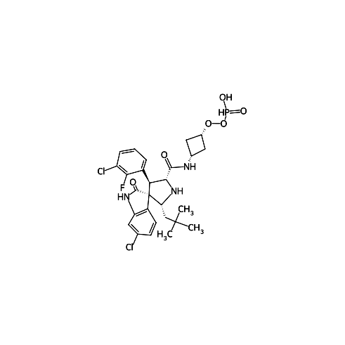 CC(C)(C)C[C@H]1N[C@@H](C(=O)N[C@H]2C[C@@H](OO[PH](=O)O)C2)[C@H](c2cccc(Cl)c2F)[C@@]12C(=O)Nc1cc(Cl)ccc12